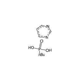 CCCCP(=O)(O)O.c1cncnc1